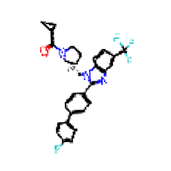 O=C(C1CC1)N1CC[C@H](Cn2c(-c3ccc(-c4ccc(F)cc4)cc3)nc3cc(C(F)(F)F)ccc32)C1